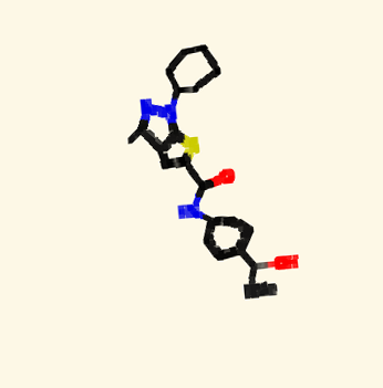 CNC(O)c1ccc(NC(=O)c2cc3c(C)nn(C4CCCCC4)c3s2)cc1